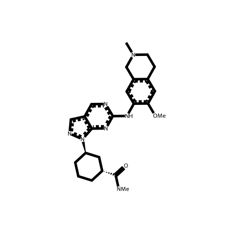 CNC(=O)[C@@H]1CCC[C@@H](n2ncc3cnc(Nc4cc5c(cc4OC)CCN(C)C5)nc32)C1